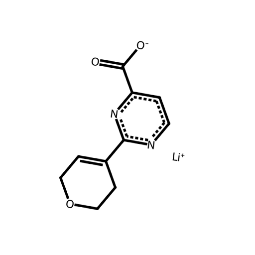 O=C([O-])c1ccnc(C2=CCOCC2)n1.[Li+]